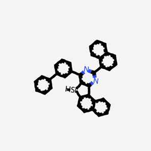 C[SiH]1c2ccc3ccccc3c2-c2nc(-c3cccc4ccccc34)nc(-c3cccc(-c4ccccc4)c3)c21